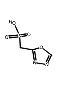 O=S(=O)(O)Cc1nn[c]o1